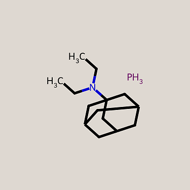 CCN(CC)C12CC3CC(CC(C3)C1)C2.P